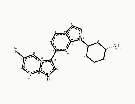 N[C@@H]1CCC[C@@H](n2ccc3cnc(-c4c[nH]c5ncc(F)cc45)nc32)C1